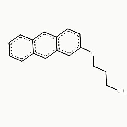 CCCCOc1[c]cc2cc3ccccc3cc2c1